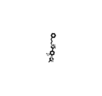 COc1cc(-c2cn(CCCc3ccccc3)nn2)ccc1-n1cnc(C)c1